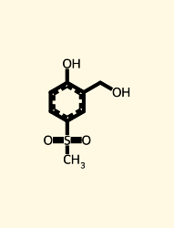 CS(=O)(=O)c1ccc(O)c(CO)c1